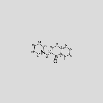 O=C1c2ccccc2CCC1CN1CCCCC1